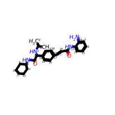 CC(C)NC(C(=O)NC1CCCCC1)c1ccc(/C=C/C(=O)Nc2ccccc2N)cc1